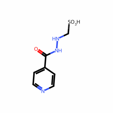 O=C(NNCS(=O)(=O)O)c1ccncc1